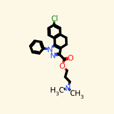 CN(C)CCCOC(=O)c1nn(-c2ccccc2)c2c1CCc1cc(Cl)ccc1-2